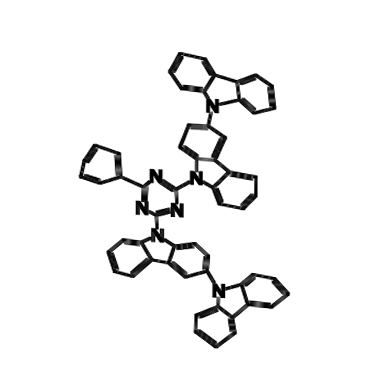 c1ccc(-c2nc(-n3c4ccccc4c4cc(-n5c6ccccc6c6ccccc65)ccc43)nc(-n3c4ccccc4c4cc(-n5c6ccccc6c6ccccc65)ccc43)n2)cc1